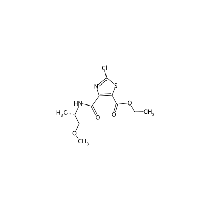 CCOC(=O)c1sc(Cl)nc1C(=O)N[C@@H](C)COC